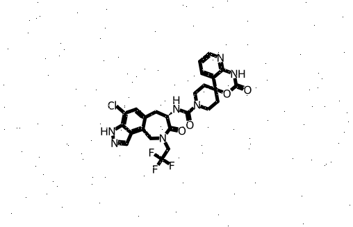 O=C1Nc2ncccc2C2(CCN(C(=O)N[C@H]3Cc4cc(Cl)c5[nH]ncc5c4CN(CC(F)(F)F)C3=O)CC2)O1